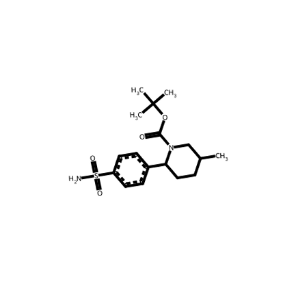 CC1CCC(c2ccc(S(N)(=O)=O)cc2)N(C(=O)OC(C)(C)C)C1